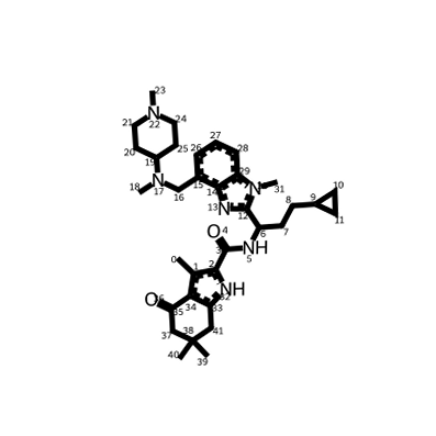 Cc1c(C(=O)NC(CCC2CC2)c2nc3c(CN(C)C4CCN(C)CC4)cccc3n2C)[nH]c2c1C(=O)CC(C)(C)C2